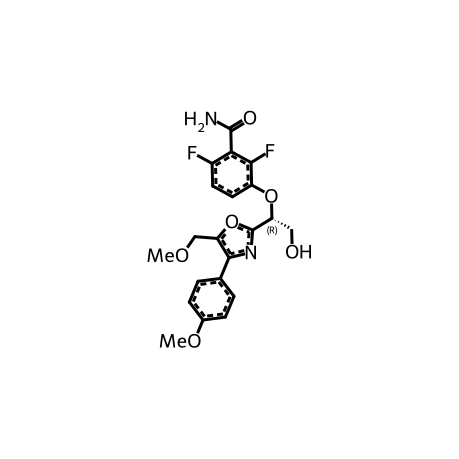 COCc1oc([C@@H](CO)Oc2ccc(F)c(C(N)=O)c2F)nc1-c1ccc(OC)cc1